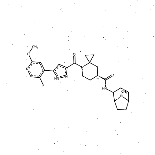 COc1cc(-c2cc(C(=O)N3CC[C@H](C(=O)NC4CCC5CCC4N5C)CC34CC4)n[nH]2)c(F)cn1